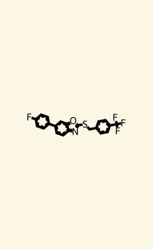 Fc1ccc(-c2ccc3nc(SCc4ccc(C(F)(F)F)cc4)oc3c2)cc1